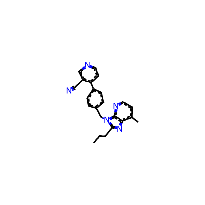 CCCc1nc2c(C)ccnc2n1Cc1ccc(-c2ccncc2C#N)cc1